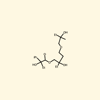 CCC(C)(O)COCCC(O)(CC)COC([O])C(O)(CC)C(C)C